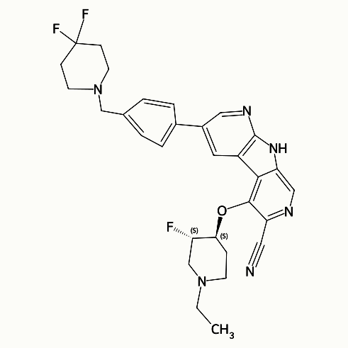 CCN1CC[C@H](Oc2c(C#N)ncc3[nH]c4ncc(-c5ccc(CN6CCC(F)(F)CC6)cc5)cc4c23)[C@@H](F)C1